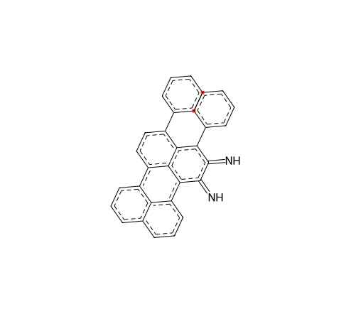 N=c1c(-c2ccccc2)c2c(-c3ccccc3)ccc3c4cccc5cccc(c(c1=N)c23)c54